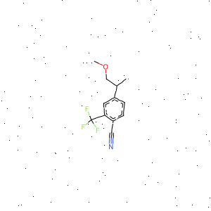 [CH2]C(COC)c1ccc(C#N)c(C(F)(F)F)c1